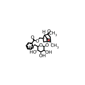 C[C@@H]1O[C@@]2(C)CC(=O)[C@@H]3C4(COC(=O)c5ccccc5)C[C@@]2(O[C@@H]2OC(CO)[C@@H](O)[C@H](O)C2O)[C@]134